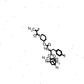 C=C(F)C(=O)N1CCC[C@H](OC(=O)N[C@@H](Cc2ccc(F)cc2)B2O[C@@H]3C[C@@H]4C[C@@H](C4(C)C)[C@]3(C)O2)C1